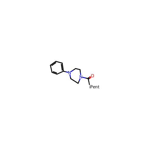 CCCC(C)C(=O)N1CCN(c2ccccc2)CC1